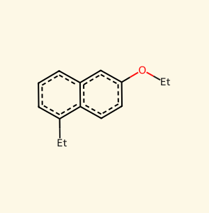 CCOc1ccc2c(CC)cccc2c1